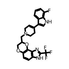 Fc1cccc2c(C3=CCN(CC4COc5ccc6[nH]c(C(F)(F)F)nc6c5O4)CC3)c[nH]c12